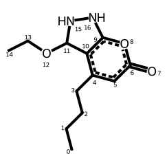 CCCCc1cc(=O)oc2c1C(OCC)NN2